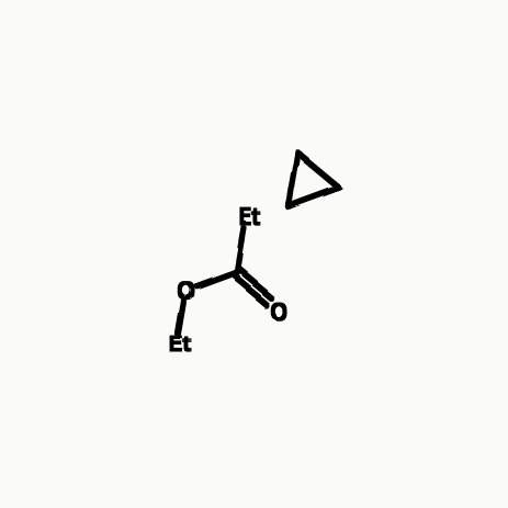 C1CC1.CCOC(=O)CC